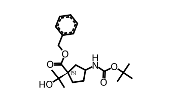 CC(C)(C)OC(=O)NC1CC[C@@](C(=O)OCc2ccccc2)(C(C)(C)O)C1